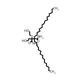 CCCCCCCCCCCCCCCCC(CCCCCCCCCCCCCCCC)(C(N)=O)C(CCO)(OCCO)C(N)=O